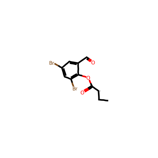 CC[CH]C(=O)Oc1c(Br)cc(Br)cc1C=O